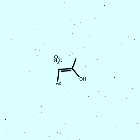 CC(=O)/C=C(/C)O.O.[Cu]